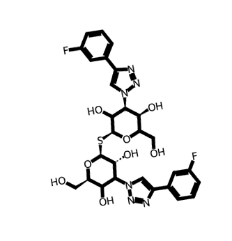 OCC1O[C@@H](S[C@@H]2O[C@H](CO)C(O)C(n3cc(-c4cccc(F)c4)nn3)[C@H]2O)C(O)[C@@H](n2cc(-c3cccc(F)c3)nn2)[C@H]1O